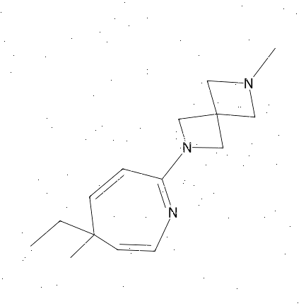 CCC1(C)C=CN=C(N2CC3(CN(C)C3)C2)C=C1